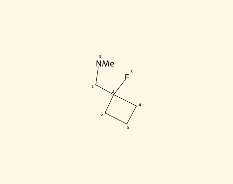 CNCC1(F)CCC1